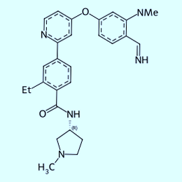 CCc1cc(-c2cc(Oc3ccc(C=N)c(NC)c3)ccn2)ccc1C(=O)N[C@@H]1CCN(C)C1